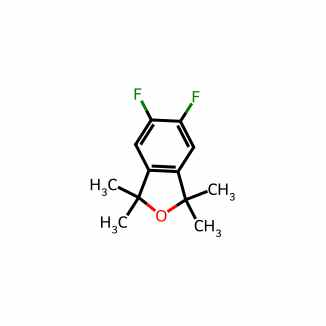 CC1(C)OC(C)(C)c2cc(F)c(F)cc21